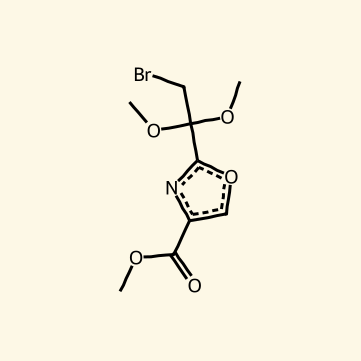 COC(=O)c1coc(C(CBr)(OC)OC)n1